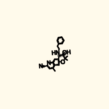 Cc1cc(C#N)nc2cc3c(cc12)OC(C)(C)[C@H](O)[C@H]3NCCc1ccccc1